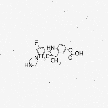 CC1(C)Cc2cc(OC(=O)O)ccc2NC1c1cc(F)cc(N2CCNCC2)c1